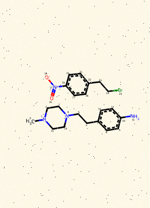 CN1CCN(CCc2ccc(N)cc2)CC1.O=[N+]([O-])c1ccc(CCBr)cc1